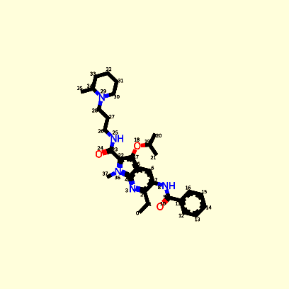 CCc1nc2c(cc1NC(=O)c1ccccc1)c(OC(C)C)c(C(=O)NCCCN1CCCCC1C)n2C